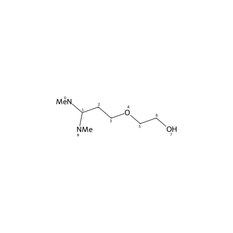 CNC(CCOCCO)NC